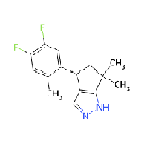 Cc1cc(F)c(F)cc1C1CC(C)(C)c2[nH]ncc21